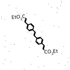 CCOC(=O)C=Cc1ccc(C=Cc2ccc(C=CC(=O)OCC)cc2)cc1